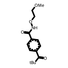 COCCONC(=O)c1ccc(C(=O)C(C)(C)C)cc1